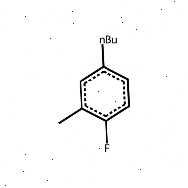 CCCCc1ccc(F)c(C)c1